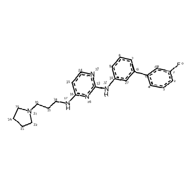 Fc1cccc(-c2cccc(Nc3nccc(NCCCN4CCCC4)n3)c2)c1